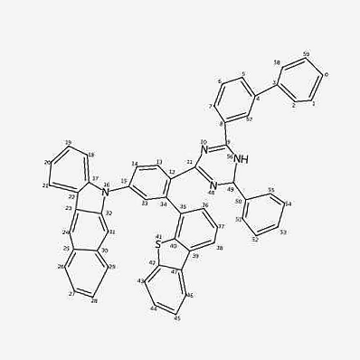 c1ccc(-c2cccc(C3=NC(c4ccc(-n5c6ccccc6c6cc7ccccc7cc65)cc4-c4cccc5c4sc4ccccc45)=NC(c4ccccc4)N3)c2)cc1